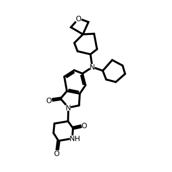 O=C1CCC(N2Cc3cc(N(C4CCCCC4)C4CCC5(CC4)COC5)ccc3C2=O)C(=O)N1